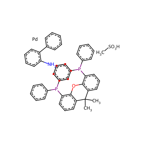 CC1(C)c2cccc(P(c3ccccc3)c3ccccc3)c2Oc2c(P(c3ccccc3)c3ccccc3)cccc21.CS(=O)(=O)O.Nc1ccccc1-c1ccccc1.[Pd]